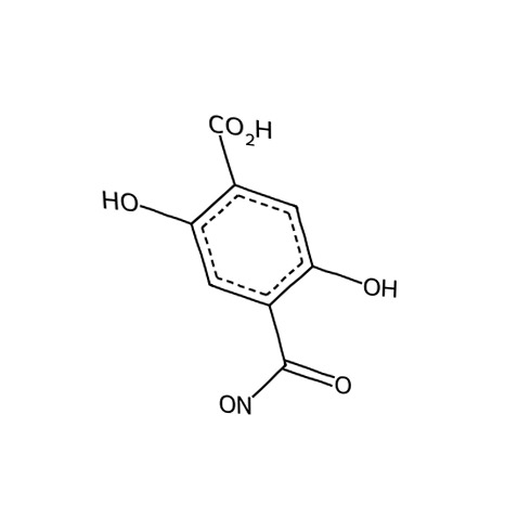 O=NC(=O)c1cc(O)c(C(=O)O)cc1O